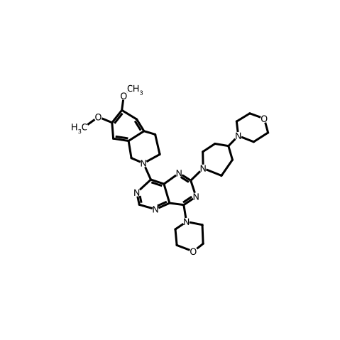 COc1cc2c(cc1OC)CN(c1ncnc3c(N4CCOCC4)nc(N4CCC(N5CCOCC5)CC4)nc13)CC2